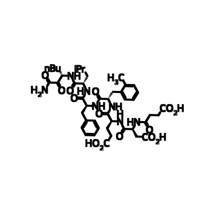 CCCC[C@H](NC(=O)[C@H](CC(C)C)NC(=O)[C@H](Cc1ccccc1)NC(=O)[C@H](Cc1ccccc1C)NC(=O)[C@H](CCC(=O)O)NC(=O)[C@H](CC(=O)O)NC(=O)CCC(=O)O)C(=O)C(N)=O